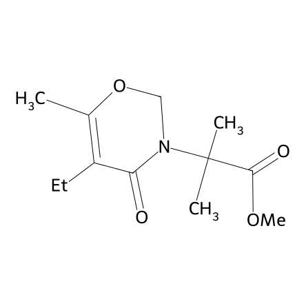 CCC1=C(C)OCN(C(C)(C)C(=O)OC)C1=O